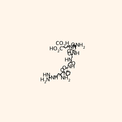 N=C(N)NCCC[C@H](N)C(=O)N1CCC[C@H]1C(=O)NCC(=O)NCC(=O)N[C@@H](CC(N)=O)C(=O)N[C@@H](CCC(=O)O)C(=O)O